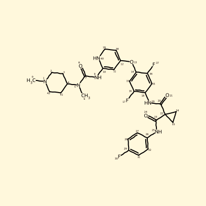 CN1CCC(N(C)C(=O)NC2=CC(Oc3cc(F)c(NC(=O)C4(C(=O)Nc5ccc(F)cc5)CC4)cc3F)=CCN2)CC1